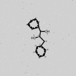 OC(c1ccccc1)[C@H](O)Cc1ccccc1